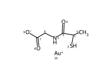 CC(S)C(=O)NCC(=O)[O-].[Au+]